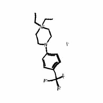 CC[N+]1(CC)CCN(c2ccc(C(F)(F)F)cc2)CC1.[I-]